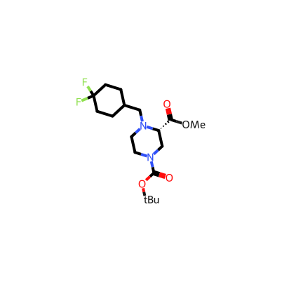 COC(=O)[C@@H]1CN(C(=O)OC(C)(C)C)CCN1CC1CCC(F)(F)CC1